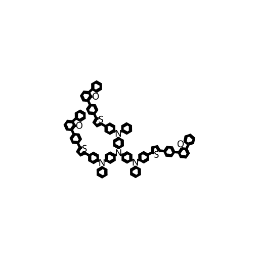 c1ccc(N(c2ccc(-c3ccc(-c4ccc(-c5cccc6c5oc5ccccc56)cc4)s3)cc2)c2ccc(N(c3ccc(N(c4ccccc4)c4ccc(-c5ccc(-c6ccc(-c7cccc8c7oc7ccccc78)cc6)s5)cc4)cc3)c3ccc(N(c4ccccc4)c4ccc(-c5ccc(-c6ccc(-c7cccc8c7oc7ccccc78)cc6)s5)cc4)cc3)cc2)cc1